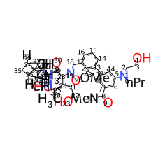 CCCN(CCO)c1cc(C(=O)NC)cc(-c2cccc(CN3O[C@@H](CO)[C@@H]([C@H](C)O)[C@H]3C(=O)N[C@H]3C[C@H]4C[C@@H]([C@@H]3C)C4(C)C)c2OC)c1